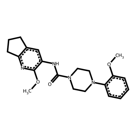 COc1ccccc1N1CCN(C(=O)Nc2cc3c(nc2OC)CCC3)CC1